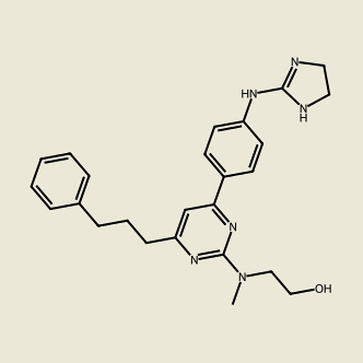 CN(CCO)c1nc(CCCc2ccccc2)cc(-c2ccc(NC3=NCCN3)cc2)n1